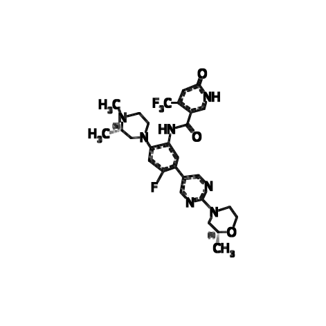 C[C@@H]1CN(c2ncc(-c3cc(NC(=O)c4c[nH]c(=O)cc4C(F)(F)F)c(N4CCN(C)[C@@H](C)C4)cc3F)cn2)CCO1